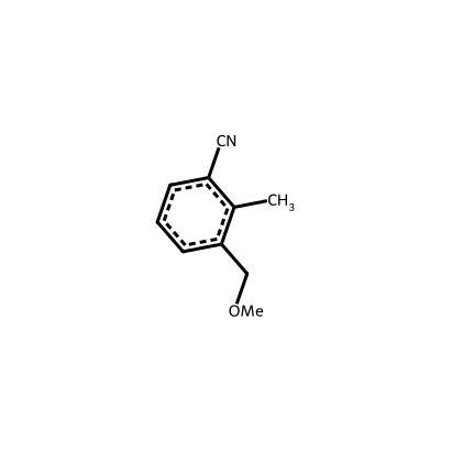 COCc1cccc(C#N)c1C